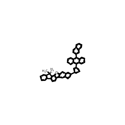 CC1(C)c2ccccc2-c2ccc3c(oc4cc5cc(-c6cccc(-c7c8ccccc8c(-c8ccc9ccccc9c8)c8ccccc78)c6)ccc5cc43)c21